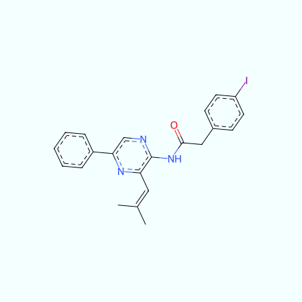 CC(C)=Cc1nc(-c2ccccc2)cnc1NC(=O)Cc1ccc(I)cc1